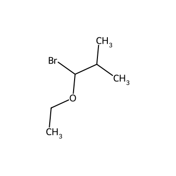 CCOC(Br)C(C)C